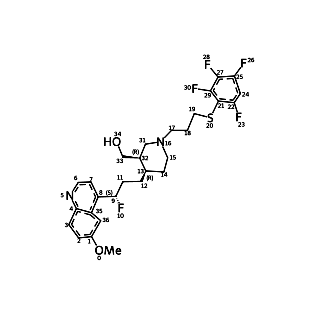 COc1ccc2nccc([C@@H](F)CC[C@@H]3CCN(CCCSc4c(F)cc(F)c(F)c4F)C[C@@H]3CO)c2c1